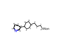 CCCCCCCCCCCCC1CCC(c2cccnc2)CC1